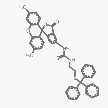 O=C1OC2(c3ccc(O)cc3Oc3cc(O)ccc32)c2ccc(NC(=S)NCCSC(c3ccccc3)(c3ccccc3)c3ccccc3)cc21